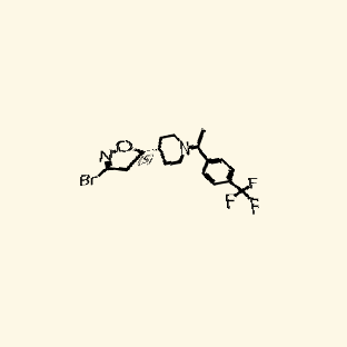 CC(c1ccc(C(F)(F)F)cc1)N1CCC([C@@H]2CC(Br)=NO2)CC1